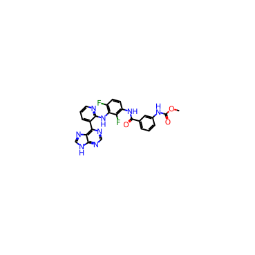 COC(=O)Nc1cccc(C(=O)Nc2ccc(F)c(Nc3ncccc3-c3ncnc4[nH]cnc34)c2F)c1